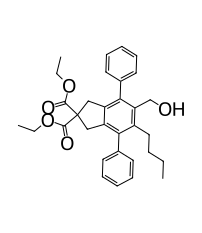 CCCCc1c(CO)c(-c2ccccc2)c2c(c1-c1ccccc1)CC(C(=O)OCC)(C(=O)OCC)C2